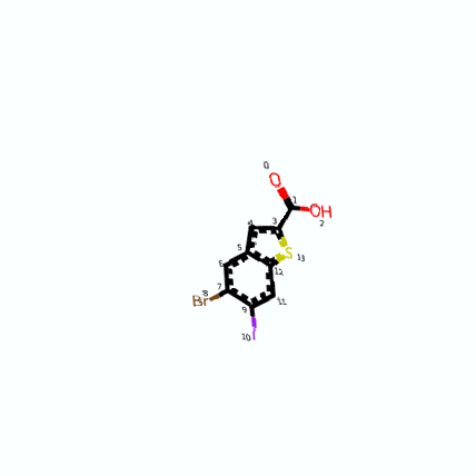 O=C(O)c1cc2cc(Br)c(I)cc2s1